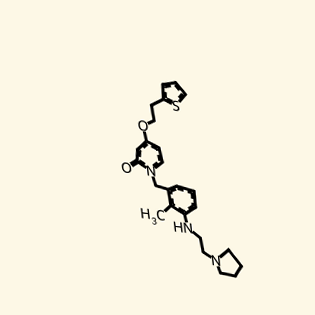 Cc1c(Cn2ccc(OCCc3cccs3)cc2=O)cccc1NCCN1CCCC1